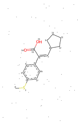 CSc1ccc(C(=CC2CCCC2)C(=O)O)cc1